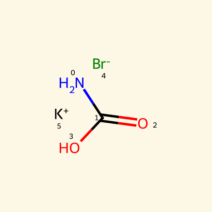 NC(=O)O.[Br-].[K+]